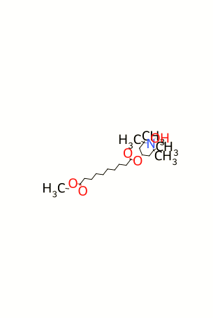 CCOC(=O)CCCCCCCCC(=O)OC1CC(C)(C)N(O)C(C)(C)C1